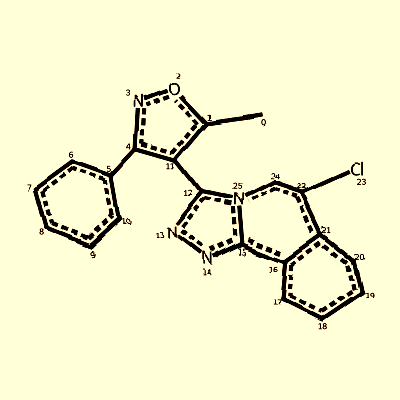 Cc1onc(-c2ccccc2)c1-c1nnc2c3ccccc3c(Cl)cn12